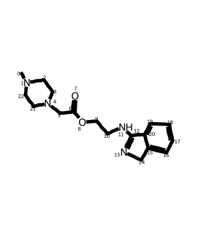 CN1CCN(CC(=O)OCCNC2=NCc3ccccc32)CC1